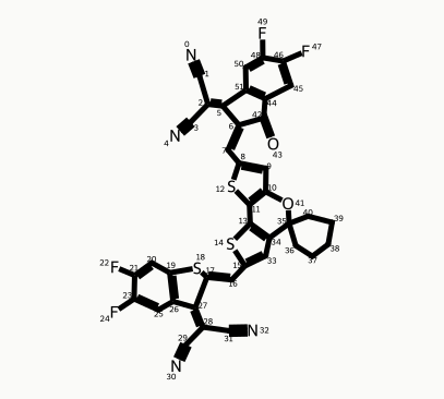 N#CC(C#N)=C1/C(=C/c2cc3c(s2)-c2sc(/C=c4\sc5cc(F)c(F)cc5c4=C(C#N)C#N)cc2C2(CCCCC2)O3)C(=O)c2cc(F)c(F)cc21